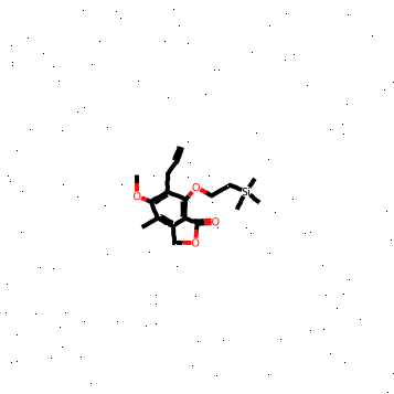 C=CCc1c(OC)c(C)c2c(c1OCC[Si](C)(C)C)C(=O)OC2